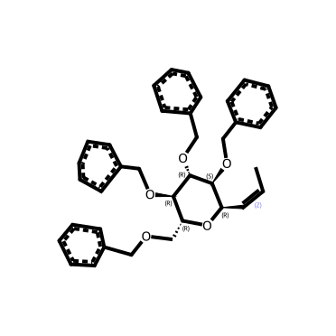 C/C=C\[C@H]1O[C@H](COCc2ccccc2)[C@@H](OCc2ccccc2)[C@H](OCc2ccccc2)[C@H]1OCc1ccccc1